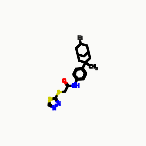 CCC1CC2CC(C1)CC(C)(c1ccc(NC(=O)CSc3nncs3)cc1)C2